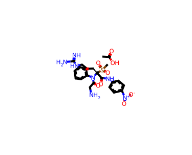 CC(=O)O.CS(=O)(=O)[C@](CCCNC(=N)N)(C(=O)Nc1ccc([N+](=O)[O-])cc1)N(C(=O)CN)c1ccccc1